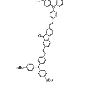 CCCCc1ccc(C(c2ccc(/C=C/c3ccc4c(c3)C(=O)c3cc(/C=C/c5ccc(N(c6ccc(CCCC)cc6)c6ccc(CCCC)cc6)cc5)ccc3-4)cc2)c2ccc(CCCC)cc2)cc1